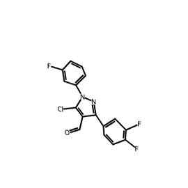 O=Cc1c(-c2ccc(F)c(F)c2)nn(-c2cccc(F)c2)c1Cl